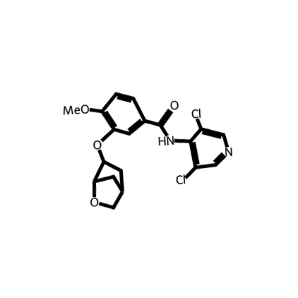 COc1ccc(C(=O)Nc2c(Cl)cncc2Cl)cc1OC1CC2COC1C2